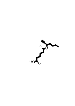 C#CC(CCCC)OC(=O)CCCCC(=O)O